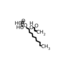 C=CC(=O)O.CCCCCCCCCCOP(=O)(O)O